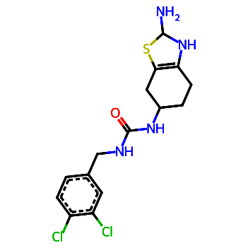 NC1NC2=C(CC(NC(=O)NCc3ccc(Cl)c(Cl)c3)CC2)S1